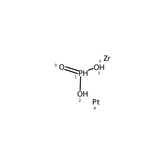 O=[PH](O)O.[Pt].[Zr]